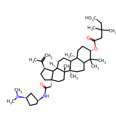 C=C(C)[C@@H]1CC[C@]2(CC(=O)N[C@H]3CC[C@@H](N(C)C)C3)CC[C@]3(C)[C@H](CCC4[C@@]5(C)CC[C@H](OC(=O)CC(C)(C)CC(=O)O)C(C)(C)C5CC[C@]43C)C12